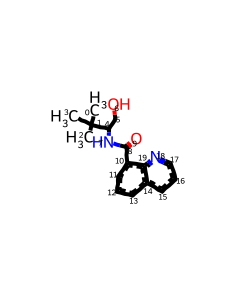 CC(C)(C)C(CO)NC(=O)c1cccc2cccnc12